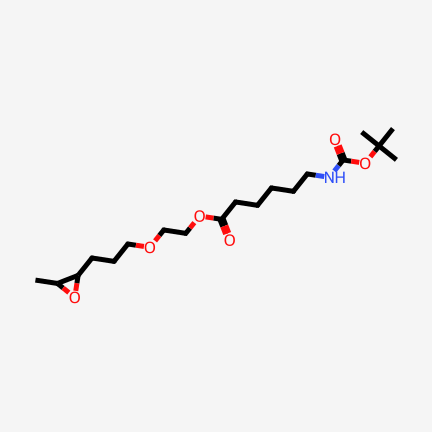 CC1OC1CCCOCCOC(=O)CCCCCNC(=O)OC(C)(C)C